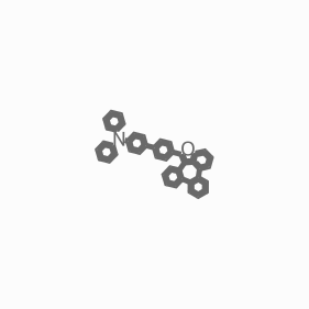 c1ccc(N(c2ccccc2)c2ccc(-c3ccc(-c4oc5cccc6c5c4-c4ccccc4-c4ccccc4-6)cc3)cc2)cc1